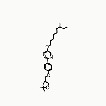 CCC(C)CCCCCCOc1cnc(-c2ccc(OC[C@H]3COC(C)(C)O3)cc2)nc1